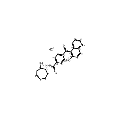 Cl.N[C@@H]1CNCCC[C@H]1NC(=O)c1ccc(C(=O)c2c(O)ccc3ncccc23)cc1